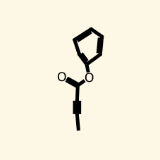 CC#CC(=O)Oc1ccccc1